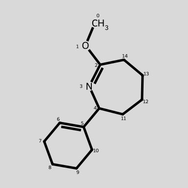 COC1=NC(C2=CCCCC2)CCCC1